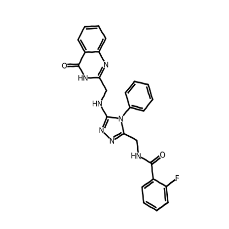 O=C(NCc1nnc(NCc2nc3ccccc3c(=O)[nH]2)n1-c1ccccc1)c1ccccc1F